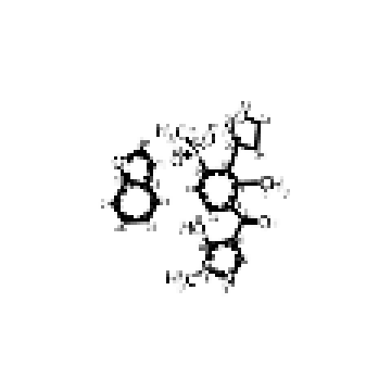 Cc1c(C(=O)c2cnn(C)c2O)ccc(S(C)(=O)=O)c1C1=NOCC1.c1ccc2occc2c1